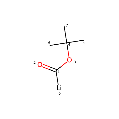 [Li][C](=O)OC(C)(C)C